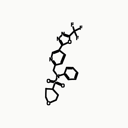 O=S(=O)(C1CCOCC1)N(Cc1ccc(-c2nnc(C(F)(F)F)o2)cn1)c1ccccc1